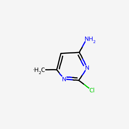 [CH2]c1cc(N)nc(Cl)n1